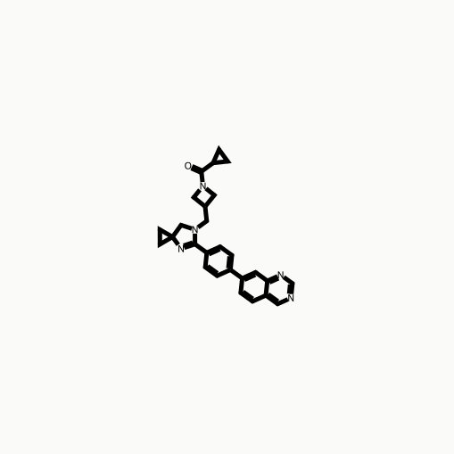 O=C(C1CC1)N1CC(CN2CC3(CC3)N=C2c2ccc(-c3ccc4cncnc4c3)cc2)C1